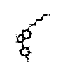 BrC/C=C/COc1ccc2c(-c3ccc(Br)cc3)coc2c1